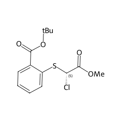 COC(=O)[C@H](Cl)Sc1ccccc1C(=O)OC(C)(C)C